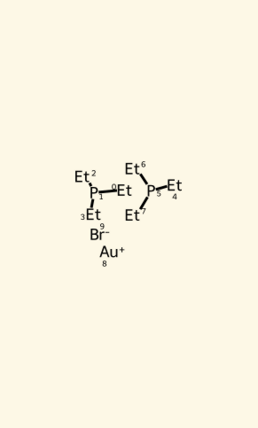 CCP(CC)CC.CCP(CC)CC.[Au+].[Br-]